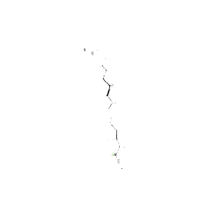 CCCC(F)CCCCC[CH]CCCCCCC(F)CC